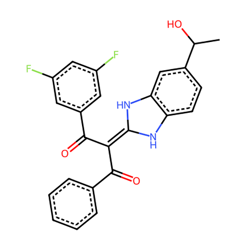 CC(O)c1ccc2c(c1)N/C(=C(/C(=O)c1ccccc1)C(=O)c1cc(F)cc(F)c1)N2